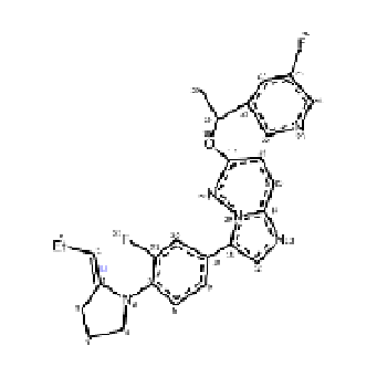 CC/C=C1\CCCN1c1ccc(-c2cnc3ccc(OC(C)c4cncc(F)c4)nn23)cc1F